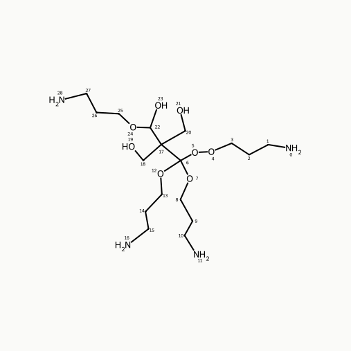 NCCCOOC(OCCCN)(OCCCN)C(CO)(CO)C(O)OCCCN